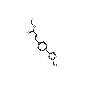 CCOC(=O)/C=C/c1ccc(-c2csc(N)n2)cc1